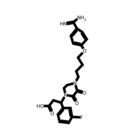 N=C(N)c1ccc(OCCCCN2CCN(C(CC(=O)O)c3cccc(F)c3)C(=O)C2=O)cc1